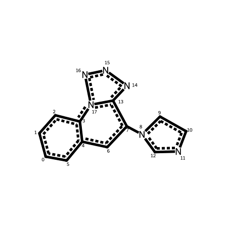 c1ccc2c(c1)cc(-n1ccnc1)c1nnnn12